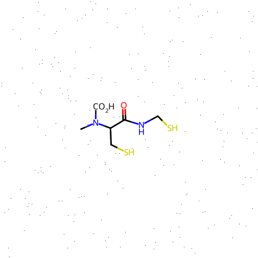 CN(C(=O)O)C(CS)C(=O)NCS